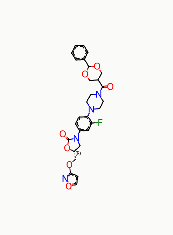 O=C(C1COC(c2ccccc2)OC1)N1CCN(c2ccc(N3C[C@H](COc4ccon4)OC3=O)cc2F)CC1